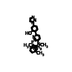 CN(c1ccc(-c2ccc(-n3ccnn3)cc2O)nn1)[C@H]1C[C@]2(C)C=C[C@](C)([C@@H]1F)N2C